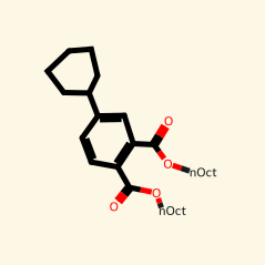 CCCCCCCCOC(=O)c1ccc(C2CCCCC2)cc1C(=O)OCCCCCCCC